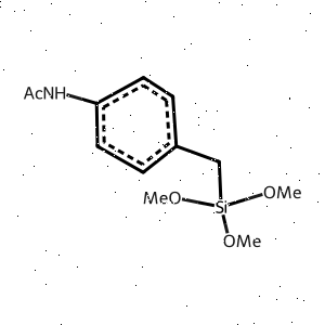 CO[Si](Cc1ccc(NC(C)=O)cc1)(OC)OC